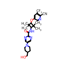 CC1(C)C(NC(=O)c2ncc(N3CCC(CO)CC3)cn2)C(C)(C)C1Oc1cnc(C#N)c(C(F)(F)F)c1